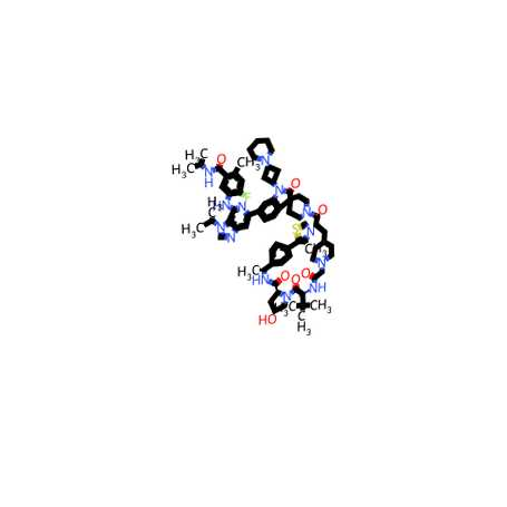 Cc1cc(F)c(Nc2nc(-c3ccc4c(c3)N(C3CC(N5CCCCC5)C3)C(=O)C43CCN(C(=O)CCC4CCN(CC(=O)N[C@H](C(=O)N5C[C@H](O)C[C@H]5C(=O)N[C@@H](C)c5ccc(-c6scnc6C)cc5)C(C)(C)C)CC4)CC3)cc3ncn(C(C)C)c23)cc1C(=O)NC(C)C